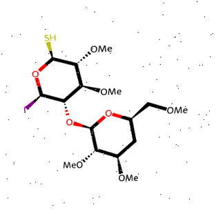 COC[C@H]1C[C@@H](OC)[C@H](OC)[C@@H](O[C@H]2[C@H](OC)[C@@H](OC)[C@H](S)O[C@@H]2I)O1